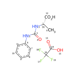 C[C@H](NC(=O)Nc1ccccc1)C(=O)O.O=C(O)C(F)(F)F